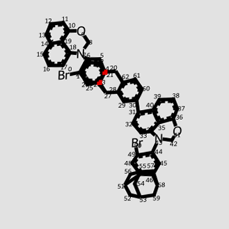 Brc1cc2c(cc1N1COc3cccc4cccc1c34)C1c3ccccc3C2c2cc(-c3ccc4c5c(cccc35)OCN4c3cc4c(cc3Br)C3CC5CC(C3)CC4C5)ccc21